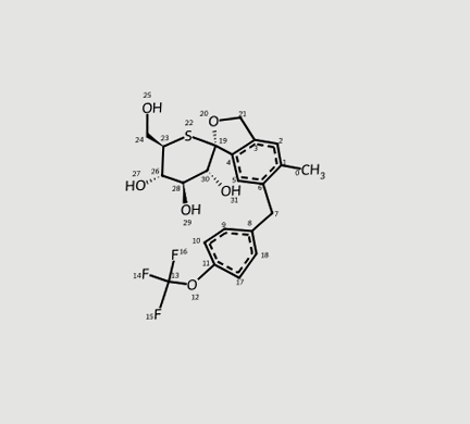 Cc1cc2c(cc1Cc1ccc(OC(F)(F)F)cc1)[C@]1(OC2)S[C@H](CO)[C@@H](O)[C@H](O)[C@H]1O